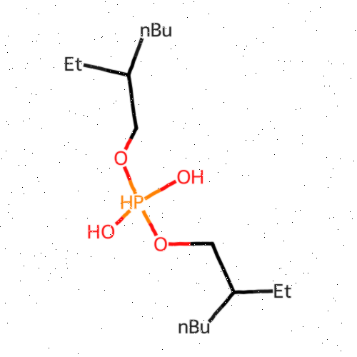 CCCCC(CC)CO[PH](O)(O)OCC(CC)CCCC